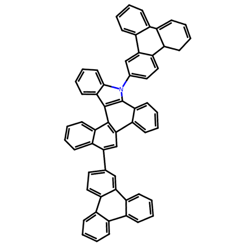 C1=CCC2C(=C1)c1ccccc1-c1cc(-n3c4ccccc4c4c5c6ccccc6c(-c6ccc7c8ccccc8c8ccccc8c7c6)cc5c5ccccc5c43)ccc12